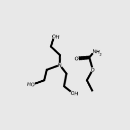 CCOC(N)=O.OCCN(CCO)CCO